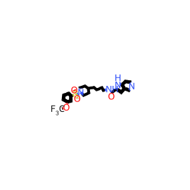 O=C(NCCCCC1CCN(S(=O)(=O)c2cccc(OC(F)(F)F)c2)CC1)c1cc2cnccc2[nH]1